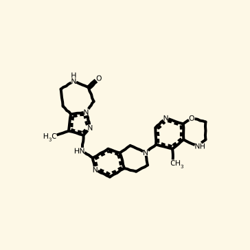 Cc1c(N2CCc3cnc(Nc4nn5c(c4C)CCNC(=O)C5)cc3C2)cnc2c1NCCO2